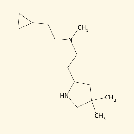 CN(CCC1CC1)CCC1CC(C)(C)CN1